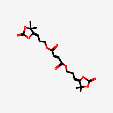 CC1(C)OC(=O)OC1=CCCOC(=O)/C=C/C(=O)OCCC=C1OC(=O)OC1(C)C